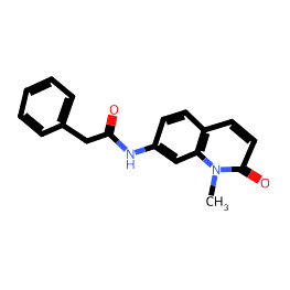 Cn1c(=O)ccc2ccc(NC(=O)Cc3ccccc3)cc21